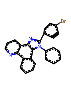 Brc1c#cc(-c2nc3c4cccnc4c4ccccc4c3n2-c2ccccc2)cc1